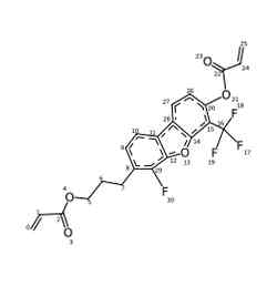 C=CC(=O)OCCCc1ccc2c(oc3c(C(F)(F)F)c(OC(=O)C=C)ccc32)c1F